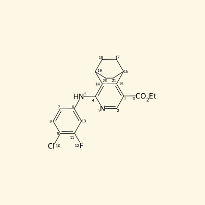 CCOC(=O)c1cnc(Nc2ccc(Cl)c(F)c2)c2c1C1CCC2CC1